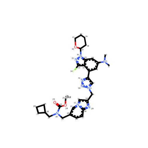 CN(C)c1cc(-c2cn(Cc3cn4cc(CN(CC5CCC5)C(=O)OC(C)(C)C)ccc4n3)nn2)c2c(F)nn(C3CCCCO3)c2c1